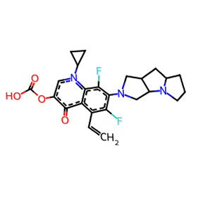 C=Cc1c(F)c(N2CC3CC4CCCN4C3C2)c(F)c2c1c(=O)c(OC(=O)O)cn2C1CC1